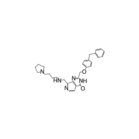 O=c1[nH]c(COc2ccc(Cc3ccccc3)cc2)nc2c(CNCCCCN3CCCC3)nccc12